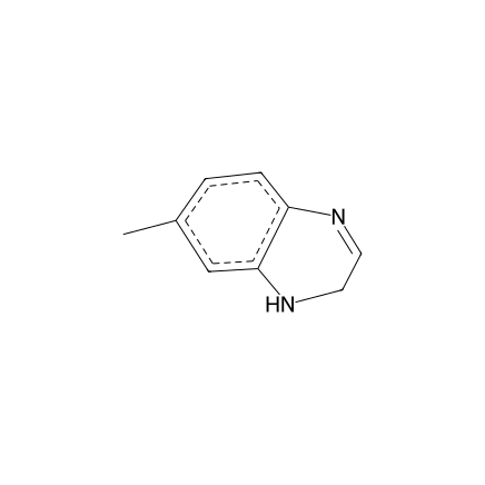 Cc1ccc2c(c1)NCC=N2